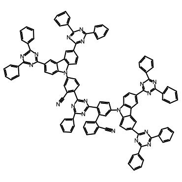 N#Cc1cc(-n2c3ccc(-c4nc(-c5ccccc5)nc(-c5ccccc5)n4)cc3c3cc(-c4nc(-c5ccccc5)nc(-c5ccccc5)n4)ccc32)ccc1-c1nc(-c2ccccc2)nc(-c2ccc(-n3c4ccc(-c5nc(-c6ccccc6)nc(-c6ccccc6)n5)cc4c4cc(-c5nc(-c6ccccc6)nc(-c6ccccc6)n5)ccc43)cc2-c2ccccc2C#N)n1